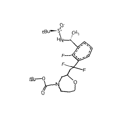 C[C@@H](N[S@+]([O-])C(C)(C)C)c1cccc(C(F)(F)C2CN(C(=O)OC(C)(C)C)CCO2)c1F